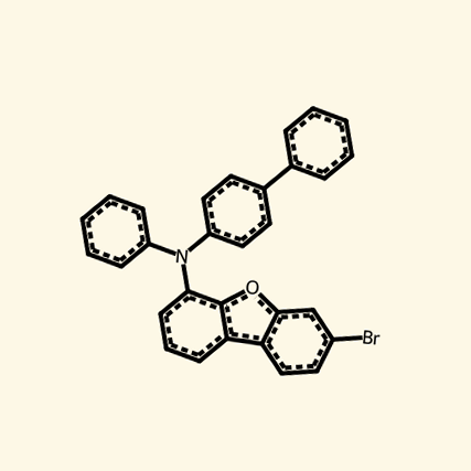 Brc1ccc2c(c1)oc1c(N(c3ccccc3)c3ccc(-c4ccccc4)cc3)cccc12